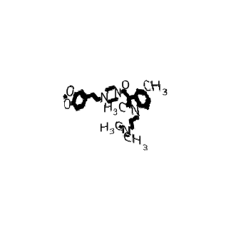 Cc1ccc2c(c1)c(C(=O)N1CCN(CCc3ccc4c(c3)OCO4)CC1)c(C)n2CCCN(C)C